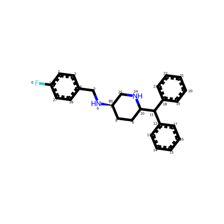 Fc1ccc(CN[C@@H]2CCC(C(c3ccccc3)c3ccccc3)NC2)cc1